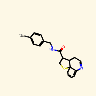 CC(C)(C)c1ccc(CNC(=O)C2CSC34CC=CC=C3N=CCC24)cc1